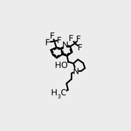 CCCCCN1CCCCC1C(O)c1cc(C(F)(F)F)nc2c(C(F)(F)F)cccc12